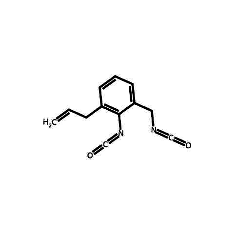 C=CCc1cccc(CN=C=O)c1N=C=O